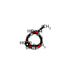 COCCOCCOC12OCCOCCOCCOCCOCCOC3(OCCOCCOC)C(=O)[C@H](OCCOCCO[C@H](C1=O)[C@H](O)C[C@H]2O)C(O)C[C@@H]3O